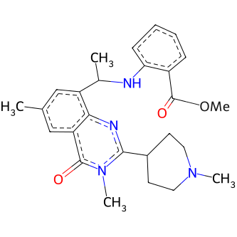 COC(=O)c1ccccc1NC(C)c1cc(C)cc2c(=O)n(C)c(C3CCN(C)CC3)nc12